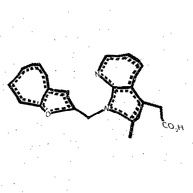 Cc1c(CC(=O)O)c2cccnc2n1Cc1cc2ccccc2o1